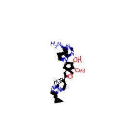 C=C(/C=C\n1c(C2CC2)cnc1C)[C@H]1C[C@@]2(CO1)C[C@@H](n1ccc3c(N)ncnc31)[C@H](O)[C@@H]2O